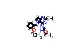 CCOc1ccccc1Cn1ccc2nc(C)nc(NCCOC)c21